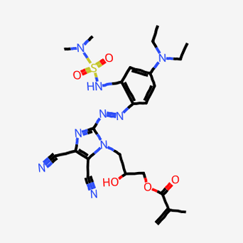 C=C(C)C(=O)OCC(O)Cn1c(/N=N/c2ccc(N(CC)CC)cc2NS(=O)(=O)N(C)C)nc(C#N)c1C#N